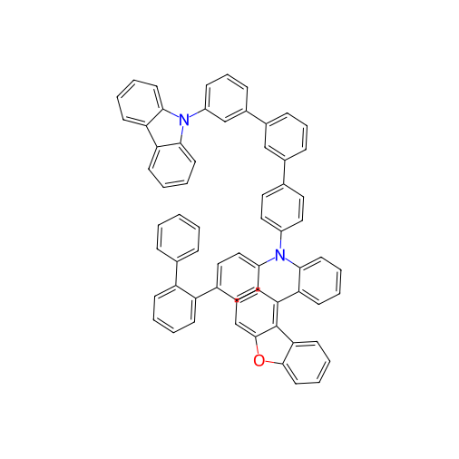 c1ccc(-c2ccccc2-c2ccc(N(c3ccc(-c4cccc(-c5cccc(-n6c7ccccc7c7ccccc76)c5)c4)cc3)c3ccccc3-c3cccc4oc5ccccc5c34)cc2)cc1